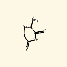 C=C1NC(=O)CCC1N